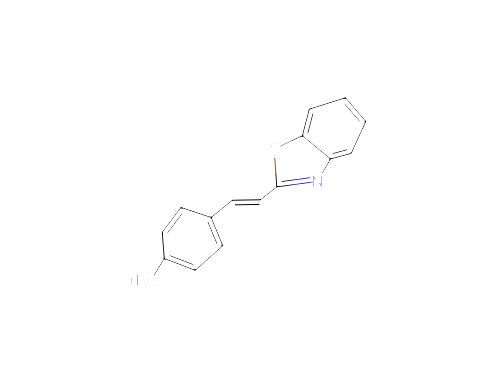 CC(C)(C)c1ccc(/C=C/c2nc3ccccc3s2)cc1